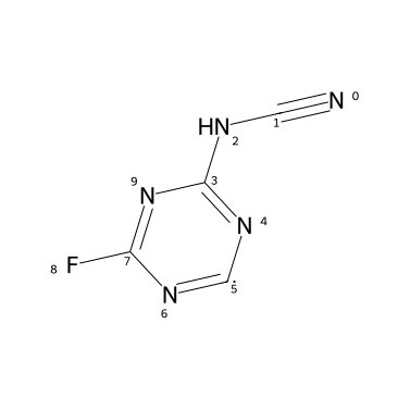 N#CNc1n[c]nc(F)n1